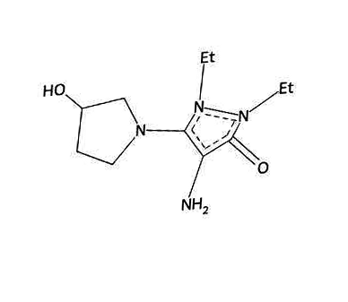 CCn1c(N2CCC(O)C2)c(N)c(=O)n1CC